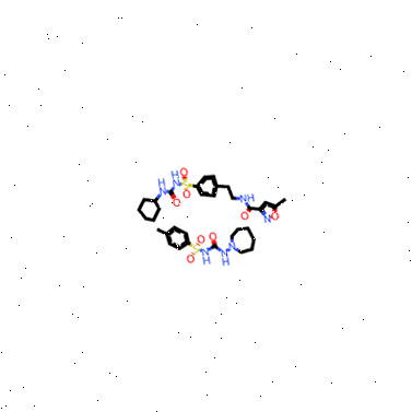 Cc1cc(C(=O)NCCc2ccc(S(=O)(=O)NC(=O)NC3CCCCC3)cc2)no1.Cc1ccc(S(=O)(=O)NC(=O)NN2CCCCCC2)cc1